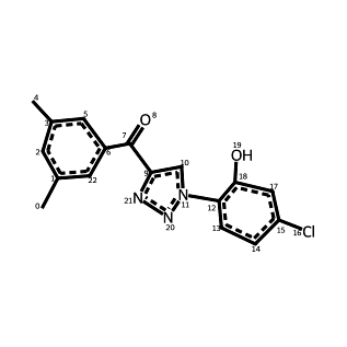 Cc1cc(C)cc(C(=O)c2cn(-c3ccc(Cl)cc3O)nn2)c1